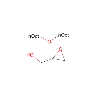 CCCCCCCCOCCCCCCCC.OCC1CO1